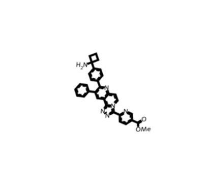 COC(=O)c1ccc(-c2nnc3c4cc(-c5ccccc5)c(-c5ccc(C6(N)CCC6)cc5)nc4ccn23)nc1